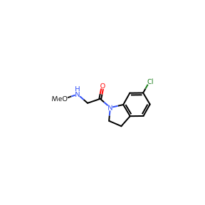 CONCC(=O)N1CCc2ccc(Cl)cc21